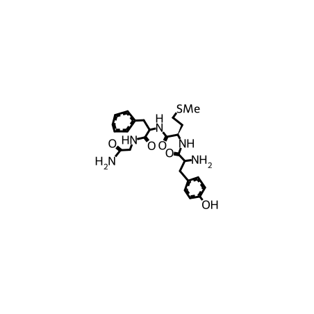 CSCC[C@@H](NC(=O)C(N)Cc1ccc(O)cc1)C(=O)NC(Cc1ccccc1)C(=O)NCC(N)=O